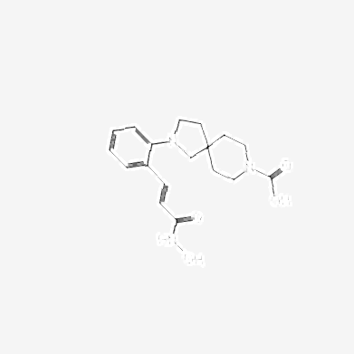 O=C(C=Cc1ccccc1N1CCC2(CCN(C(=O)O)CC2)C1)NO